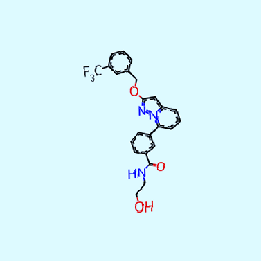 O=C(NCCO)c1cccc(-c2cccc3cc(OCc4cccc(C(F)(F)F)c4)nn23)c1